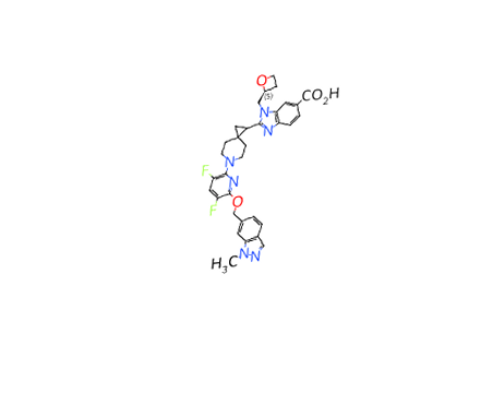 Cn1ncc2ccc(COc3nc(N4CCC5(CC4)CC5c4nc5ccc(C(=O)O)cc5n4C[C@@H]4CCO4)c(F)cc3F)cc21